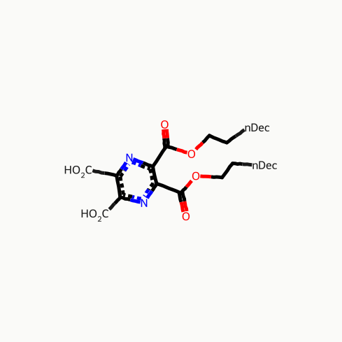 CCCCCCCCCCCCOC(=O)c1nc(C(=O)O)c(C(=O)O)nc1C(=O)OCCCCCCCCCCCC